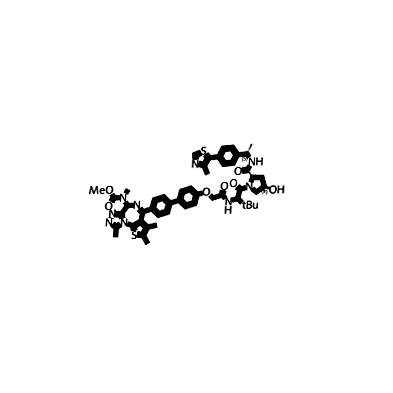 COC(=O)N(C)C1N=C(c2ccc(-c3ccc(OCC(=O)NC(C(=O)N4C[C@H](O)C[C@H]4C(=O)N[C@@H](C)c4ccc(-c5scnc5C)cc4)C(C)(C)C)cc3)cc2)c2c(sc(C)c2C)-n2c(C)nnc21